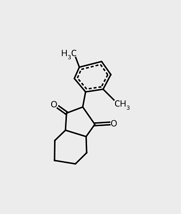 Cc1ccc(C)c(C2C(=O)C3CCCCC3C2=O)c1